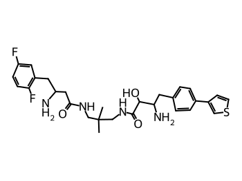 CC(C)(CNC(=O)CC(N)Cc1cc(F)ccc1F)CNC(=O)C(O)C(N)Cc1ccc(-c2ccsc2)cc1